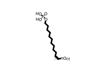 CCCCCCCC/C=C\CCCCCCCC[CH]COP(=O)(O)O